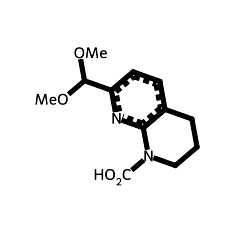 COC(OC)c1ccc2c(n1)N(C(=O)O)CCC2